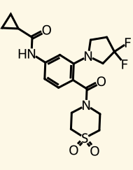 O=C(Nc1ccc(C(=O)N2CCS(=O)(=O)CC2)c(N2CCC(F)(F)C2)c1)C1CC1